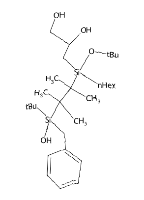 CCCCCC[Si](CC(O)CO)(OC(C)(C)C)C(C)(C)C(C)(C)[Si](O)(Cc1ccccc1)C(C)(C)C